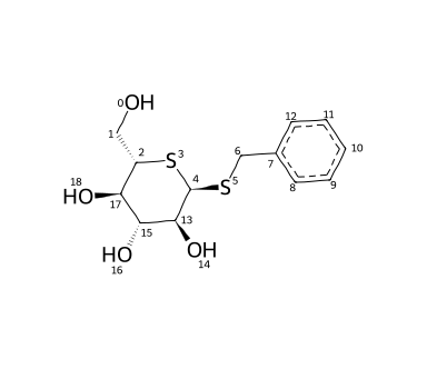 OC[C@@H]1S[C@@H](SCc2ccccc2)[C@@H](O)[C@H](O)[C@H]1O